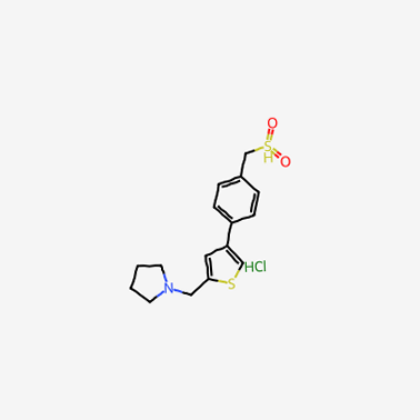 Cl.O=[SH](=O)Cc1ccc(-c2csc(CN3CCCC3)c2)cc1